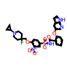 O=C(NS(=O)(=O)c1ccc(OCC2(F)CCN(C3CC3)CC2)c([N+](=O)[O-])c1)c1ccccc1Oc1cnc2[nH]ccc2c1